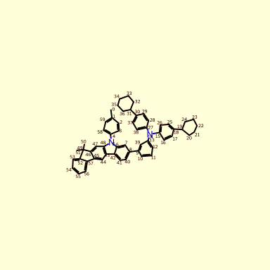 Cc1ccc(-n2c3cc(-c4cccc(N(c5ccc(C6CCCCC6)cc5)c5ccc(C6CCCCC6)cc5)c4)ccc3c3cc4c(cc32)C(C)(C)c2ccccc2-4)cc1